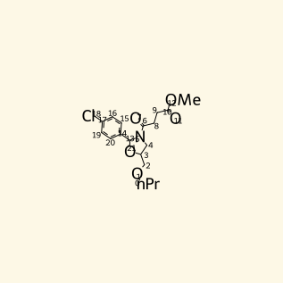 CCCOCC1CN(C(=O)CCC(=O)OC)C(c2ccc(Cl)cc2)O1